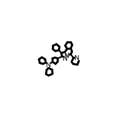 c1ccc(-c2c(-c3ccc(N(c4ccccc4)c4ccccc4)cc3)nn3c(-c4ccccn4)cc4ccccc4c23)cc1